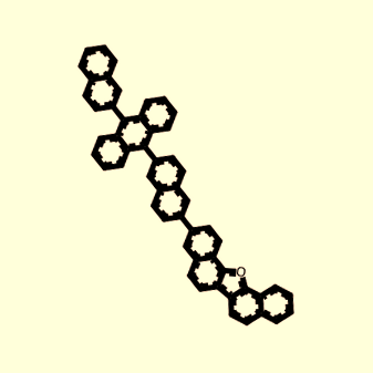 c1ccc2cc(-c3c4ccccc4c(-c4ccc5cc(-c6ccc7c(ccc8c9ccc%10ccccc%10c9oc78)c6)ccc5c4)c4ccccc34)ccc2c1